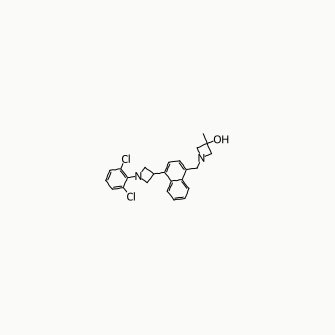 CC1(O)CN(Cc2ccc(C3CN(c4c(Cl)cccc4Cl)C3)c3ccccc23)C1